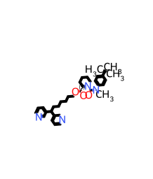 CN(C(=O)N1CCCC[C@H]1C(=O)OCCCCCCC(c1cccnc1)c1cccnc1)c1ccc(C(C)(C)C)cc1